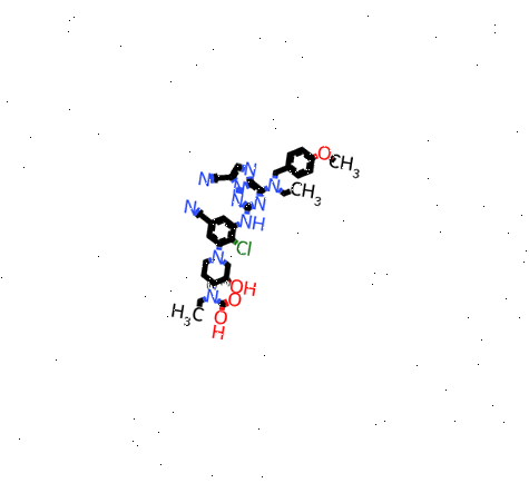 CCN(Cc1ccc(OC)cc1)c1nc(Nc2cc(C#N)cc(N3CC[C@@H](N(CC)C(=O)O)[C@H](O)C3)c2Cl)nn2c(C#N)cnc12